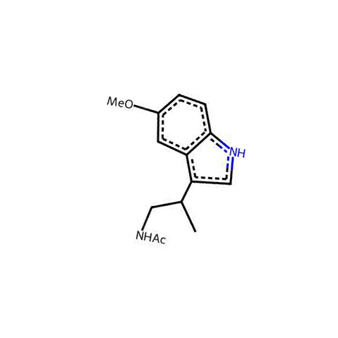 COc1ccc2[nH]cc(C(C)CNC(C)=O)c2c1